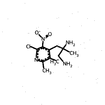 Cc1nc(Cl)c([N+](=O)[O-])c(CC(C)(N)CN)c1C